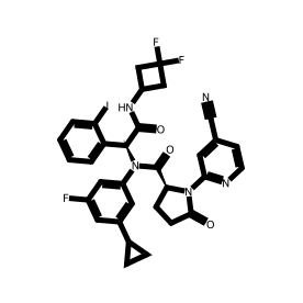 N#Cc1ccnc(N2C(=O)CC[C@H]2C(=O)N(c2cc(F)cc(C3CC3)c2)[C@H](C(=O)NC2CC(F)(F)C2)c2ccccc2I)c1